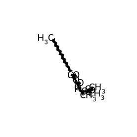 CCCCCCCCCCCCCCCCCCOC(=O)COCC(=O)OCCC(C)OCC(C)(C)OC